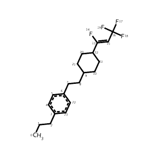 CCCc1ccc(CCC2CCC(/C(F)=C/C(F)(F)F)CC2)cc1